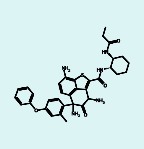 CCC(=O)N[C@H]1CCCC[C@@H]1NC(=O)c1sc2c(N)ccc3c2c1C(N)C(=O)C3(N)c1ccc(Oc2ccccc2)cc1C